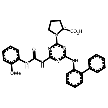 COc1ccccc1NC(=O)Nc1nc(Nc2ccccc2-c2ccccc2)nc(N2CCC[C@H]2C(=O)O)n1